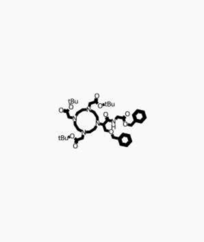 CC(C)(C)OC(=O)CN1CCN(CC(=O)OC(C)(C)C)CCN(C(COCc2ccccc2)C(=O)NCC(=O)OCc2ccccc2)CCN(CC(=O)OC(C)(C)C)CC1